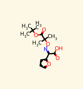 CC(C)(C)OC(=O)C(C)(C)ON=C(C(=O)O)c1ccco1